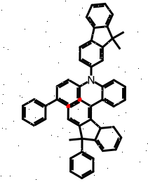 CC1(C)c2ccccc2-c2ccc(N(c3ccc(-c4ccccc4)cc3)c3ccccc3-c3cccc4c3C3CC=CC=C3C4(C)c3ccccc3)cc21